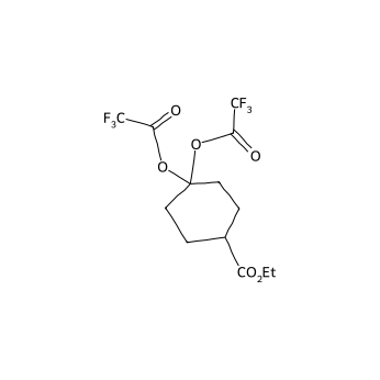 CCOC(=O)C1CCC(OC(=O)C(F)(F)F)(OC(=O)C(F)(F)F)CC1